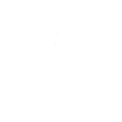 C[S+]([O-])c1ncc2ncnc(Nc3ccc(Oc4ccccc4)c(Cl)c3)c2n1